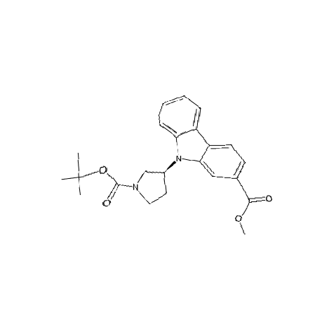 COC(=O)c1ccc2c3ccccc3n([C@H]3CCN(C(=O)OC(C)(C)C)C3)c2c1